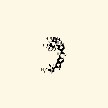 BC1(B)OC(B)(B)C(B)(B)N(c2cc(C(=O)Nc3cc4cc(-c5cnc(C)n5C)ncc4cn3)ccn2)C1(B)B